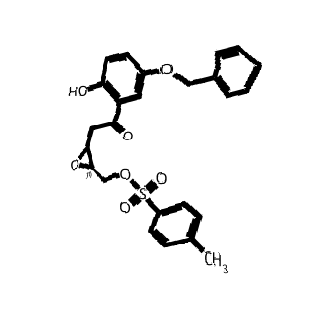 Cc1ccc(S(=O)(=O)OC[C@H]2OC2CC(=O)c2cc(OCc3ccccc3)ccc2O)cc1